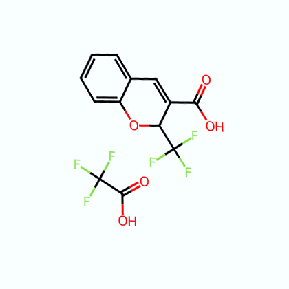 O=C(O)C(F)(F)F.O=C(O)C1=Cc2ccccc2OC1C(F)(F)F